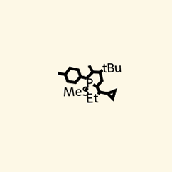 CCC(C1CC1)C1CC(C(C)(C)C)C(C)C(C2CCC(C)CC2)P1SC